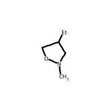 C[CH]C1CON(C)C1